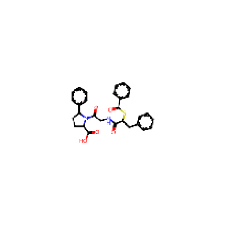 O=C(SC(Cc1ccccc1)C(=O)NCC(=O)N1C(C(=O)O)CCC1c1ccccc1)c1ccccc1